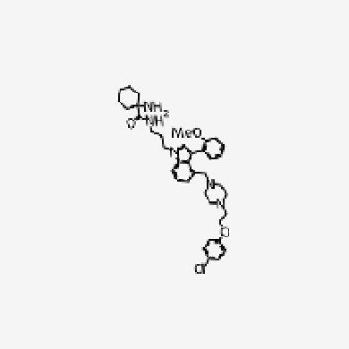 COc1ccccc1-c1cn(CCCNC(=O)C2(N)CCCCC2)c2cccc(CN3CCN(CCOc4ccc(Cl)cc4)CC3)c12